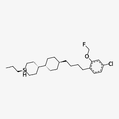 CCC[Si@H]1CC[C@H]([C@H]2CC[C@H](CCCCc3ccc(Cl)cc3OCF)CC2)CC1